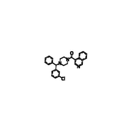 O=C(c1cncc2ccccc12)N1CCN(C(c2ccccc2)c2cccc(Cl)c2)CC1